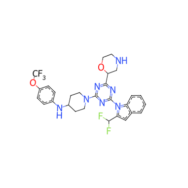 FC(F)c1cc2ccccc2n1-c1nc(C2CNCCO2)nc(N2CCC(Nc3ccc(OC(F)(F)F)cc3)CC2)n1